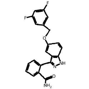 NC(=O)c1ccccc1-c1n[nH]c2ccc(OCc3cc(F)cc(F)c3)cc12